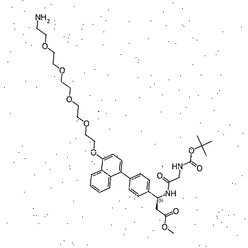 COC(=O)C[C@H](NC(=O)CNC(=O)OC(C)(C)C)c1ccc(-c2ccc(OCCOCCOCCOCCOCCN)c3ccccc23)cc1